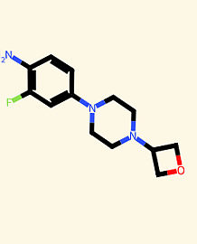 Nc1ccc(N2CCN(C3COC3)CC2)cc1F